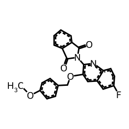 COc1ccc(COc2cc3cc(F)ccc3nc2N2C(=O)c3ccccc3C2=O)cc1